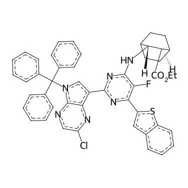 CCOC(=O)[C@@H]1C2CCC(CC2)[C@H]1Nc1nc(-c2cn(C(c3ccccc3)(c3ccccc3)c3ccccc3)c3ncc(Cl)nc23)nc(-c2cc3ccccc3s2)c1F